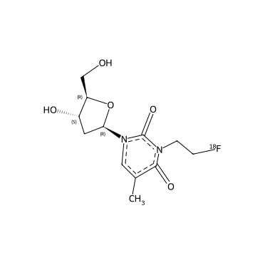 Cc1cn([C@H]2C[C@H](O)[C@@H](CO)O2)c(=O)n(CC[18F])c1=O